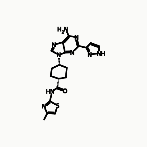 Cc1csc(NC(=O)[C@H]2CC[C@@H](n3cnc4c(N)nc(-c5cc[nH]n5)nc43)CC2)n1